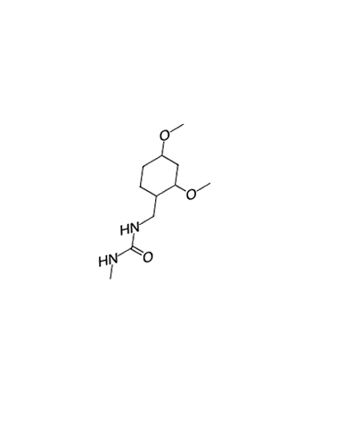 CNC(=O)NCC1CCC(OC)CC1OC